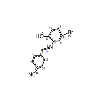 N#Cc1ccc(/C=N/c2cc(Br)ccc2O)cc1